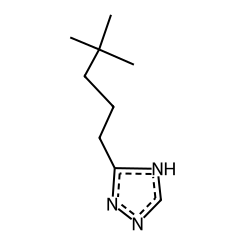 CC(C)(C)CCCc1nnc[nH]1